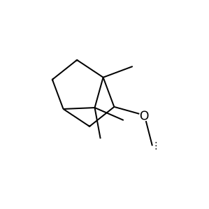 [C]OC1CC2CCC1(C)C2(C)C